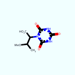 COC(C)C(C(=O)O)n1c(=O)[nH]c(=O)[nH]c1=O